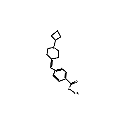 COC(=O)c1ccc(C=C2CCN(C3CCC3)CC2)nc1